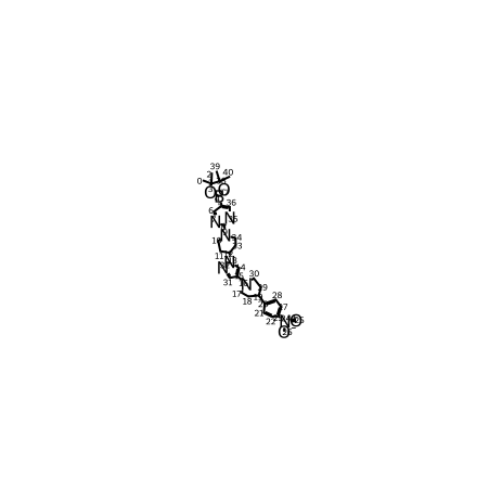 CC1(C)OB(c2cnc(N3CCC(n4cc(N5CCC(c6ccc([N+](=O)[O-])cc6)CC5)cn4)CC3)nc2)OC1(C)C